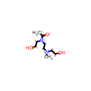 CC(=O)N(CCO)CCN(C)CCO